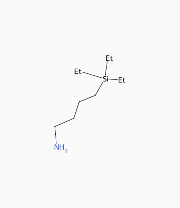 CC[Si](CC)(CC)CCCCN